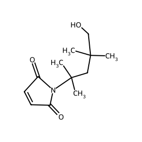 CC(C)(CO)CC(C)(C)N1C(=O)C=CC1=O